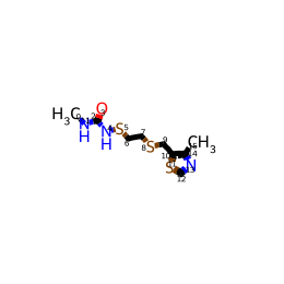 CNC(=O)NSCCSCc1scnc1C